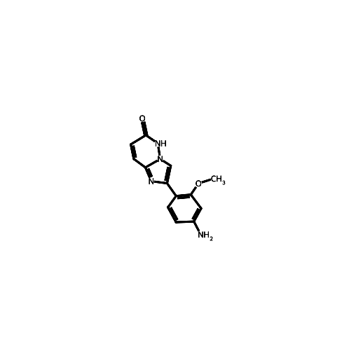 COc1cc(N)ccc1-c1cn2[nH]c(=O)ccc2n1